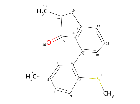 CSc1ccc(C)cc1-c1cccc2c1C(=O)C(C)C2